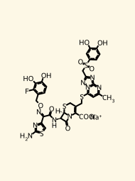 Cc1cc(SCC2=C(C(=O)[O-])N3C(=O)[C@@H](NC(=O)/C(=N\OCc4ccc(O)c(O)c4F)c4csc(N)n4)[C@H]3SC2)n2nc(CS(=O)(=O)c3ccc(O)c(O)c3)nc2n1.[Na+]